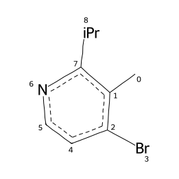 Cc1c(Br)ccnc1C(C)C